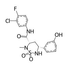 CN1[C@H](C(=O)Nc2ccc(F)c(Cl)c2)C[C@H](c2cccc(O)c2)NS1(=O)=O